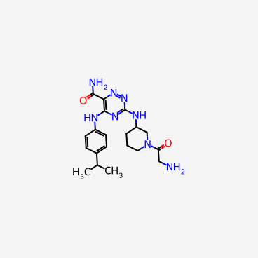 CC(C)c1ccc(Nc2nc(NC3CCCN(C(=O)CN)C3)nnc2C(N)=O)cc1